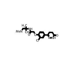 CNCC(C)(C)NC(=O)COc1ccc(C2=NNC(=O)CC2)cc1Cl